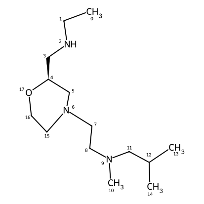 CCNC[C@H]1CN(CCN(C)CC(C)C)CCO1